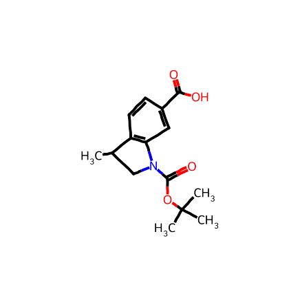 CC1CN(C(=O)OC(C)(C)C)c2cc(C(=O)O)ccc21